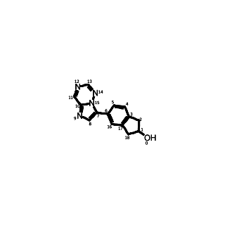 OC1Cc2ccc(-c3cnc4cncnn34)cc2C1